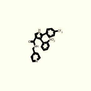 O=C(NCc1ccncc1)c1c[nH]c(-c2ccc(C(F)(F)F)cc2)c1-c1ccccc1[N+](=O)[O-]